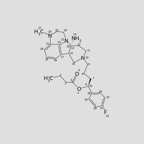 CCCC(=O)O[C@@H](CCCN1CC[C@@]2(N)C(C1)c1cccc3c1N2CCN3C)c1ccc(F)cc1